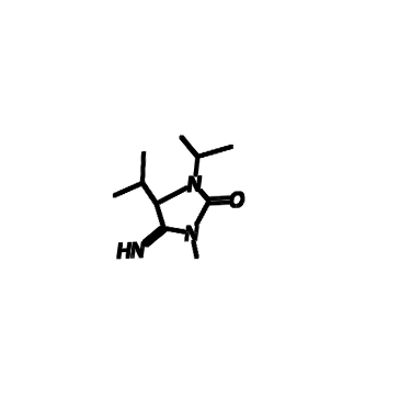 CC(C)C1C(=N)N(C)C(=O)N1C(C)C